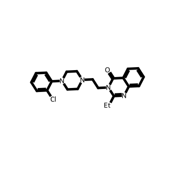 CCc1nc2ccccc2c(=O)n1CCN1CCN(c2ccccc2Cl)CC1